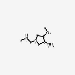 CNCN1CC(N)C(OC)C1